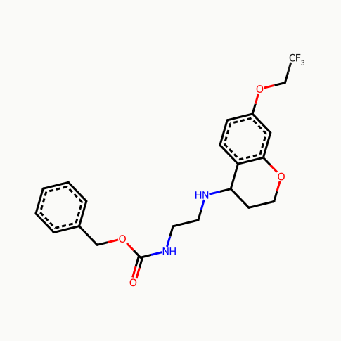 O=C(NCCNC1CCOc2cc(OCC(F)(F)F)ccc21)OCc1ccccc1